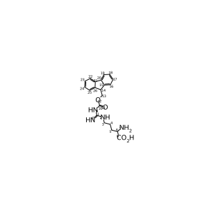 N=C(NCCCC(N)C(=O)O)NC(=O)OCC1c2ccccc2-c2ccccc21